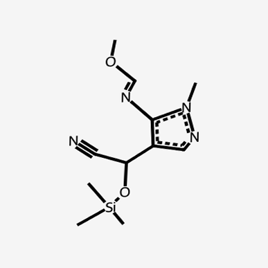 CO/C=N/c1c(C(C#N)O[Si](C)(C)C)cnn1C